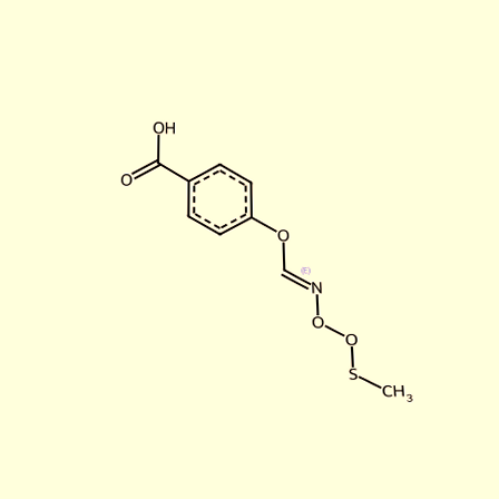 CSOO/N=C/Oc1ccc(C(=O)O)cc1